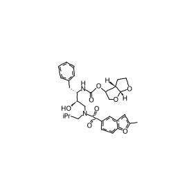 Cc1cc2cc(S(=O)(=O)N(CC(C)C)C[C@@H](O)[C@H](Cc3ccccc3)NC(=O)OC3CO[C@H]4OCC[C@@H]34)ccc2o1